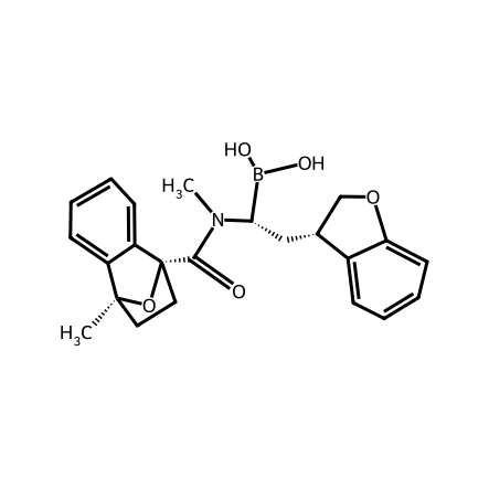 CN(C(=O)[C@]12CC[C@](C)(O1)c1ccccc12)[C@@H](C[C@@H]1COc2ccccc21)B(O)O